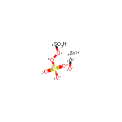 CC(=O)[O-].O=S(=O)([O-])OOS(=O)(=O)O.[Zn+2]